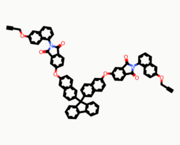 C#CCOc1ccc2c(N3C(=O)c4ccc(Oc5ccc6cc(C7(c8ccc9cc(Oc%10ccc%11c(c%10)C(=O)N(c%10cccc%12cc(OCC#C)ccc%10%12)C%11=O)ccc9c8)c8ccccc8-c8ccccc87)ccc6c5)cc4C3=O)cccc2c1